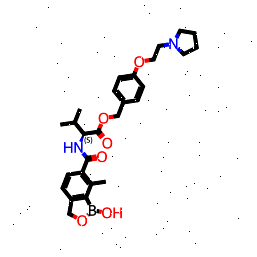 Cc1c(C(=O)N[C@H](C(=O)OCc2ccc(OCCN3CCCC3)cc2)C(C)C)ccc2c1B(O)OC2